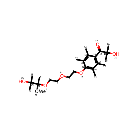 COC(C)(OCCOCCOc1c(C)c(C)c(C(=O)C(C)(C)O)c(C)c1C)C(C)(C)O